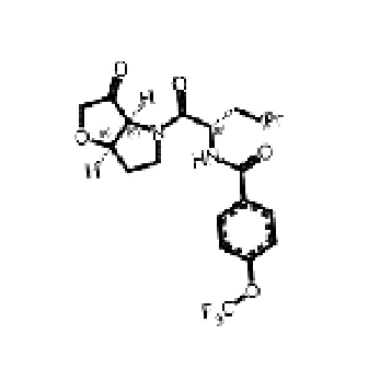 CC(C)C[C@H](NC(=O)c1ccc(OC(F)(F)F)cc1)C(=O)N1CC[C@H]2OCC(=O)[C@H]21